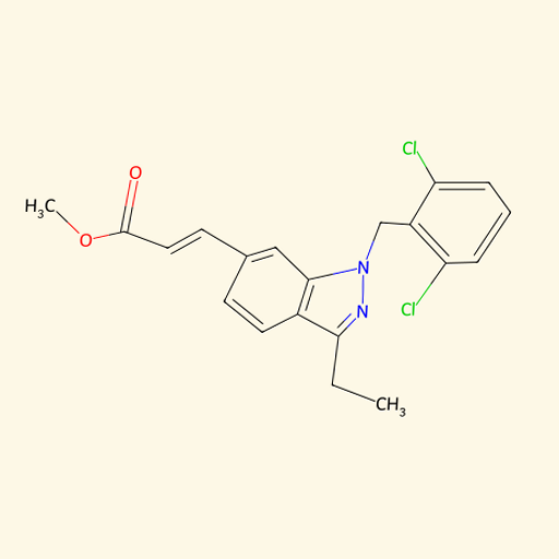 CCc1nn(Cc2c(Cl)cccc2Cl)c2cc(/C=C/C(=O)OC)ccc12